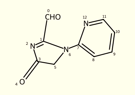 O=CC1=NC(=O)CN1c1ccccn1